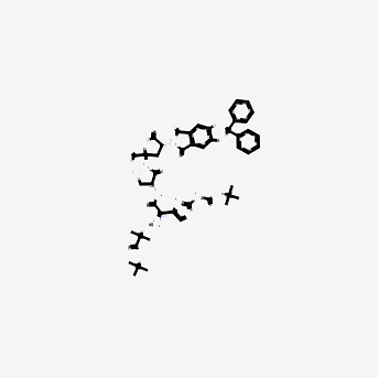 CC(C)(C)OC(=O)Nc1nc(/C(=N/OC(C)(C)C(=O)OC(C)(C)C)C(=O)N[C@H]2CON(C3(C(=O)O)C[C@@H](N4C(=O)c5cc6c(cc5C4=O)OC(c4ccccc4)(c4ccccc4)O6)C(=O)O3)C2=O)cs1